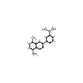 Cc1nnc(N)c2ccc(-c3cccc(B(O)O)c3)cc12